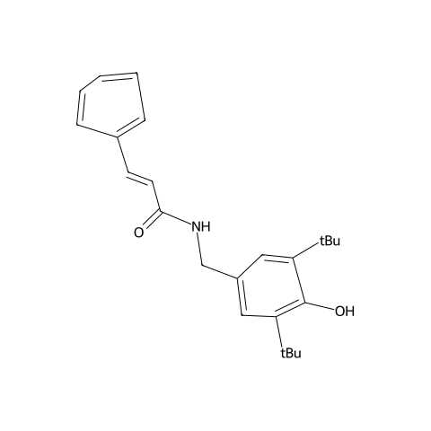 CC(C)(C)c1cc(CNC(=O)/C=C/c2ccccc2)cc(C(C)(C)C)c1O